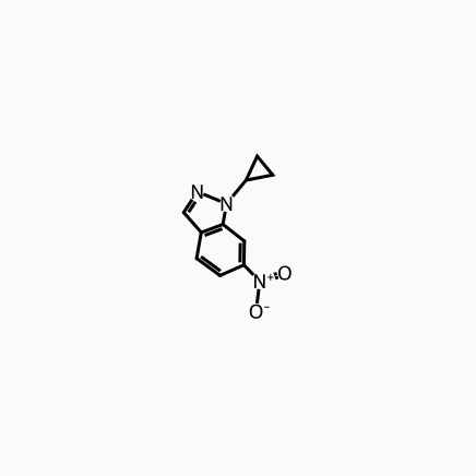 O=[N+]([O-])c1ccc2cnn(C3CC3)c2c1